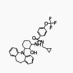 O=S(=NCC1CC1)(NC1CCCC(N2c3ccccc3CCc3ccccc32)C1O)c1ccc(OC(F)(F)F)cc1